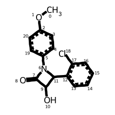 COc1ccc(N2C(=O)C(O)C2c2ccccc2Cl)cc1